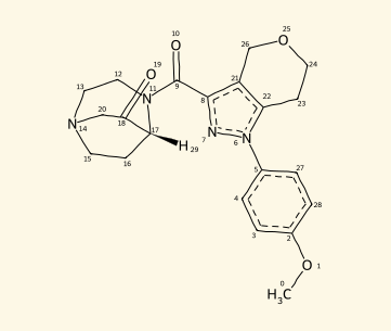 COc1ccc(-n2nc(C(=O)N3CCN4CC[C@@H]3C(=O)C4)c3c2CCOC3)cc1